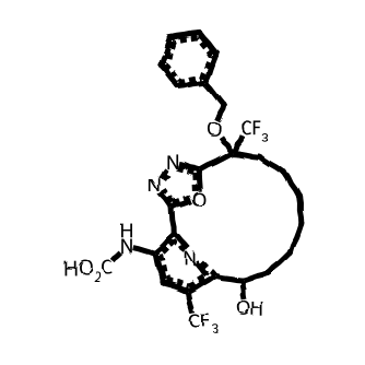 O=C(O)Nc1cc(C(F)(F)F)c2nc1-c1nnc(o1)C(OCc1ccccc1)(C(F)(F)F)CCCCCCC2O